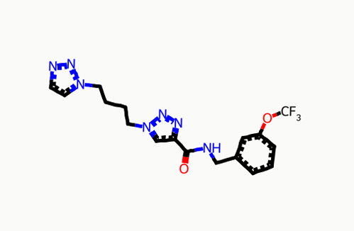 O=C(NCc1cccc(OC(F)(F)F)c1)c1cn(CCCCn2ccnn2)nn1